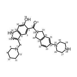 O=C(c1cc2c(CN3CCCCC3)n[nH]c2cc1O)N1Cc2ccc(N3CCNCC3)cc2C1